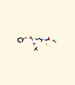 CCOC(=O)[C@H](CS)NC(=O)CCC[C@H](NC(=O)OC(C)(C)C)C(=O)OCc1ccccc1